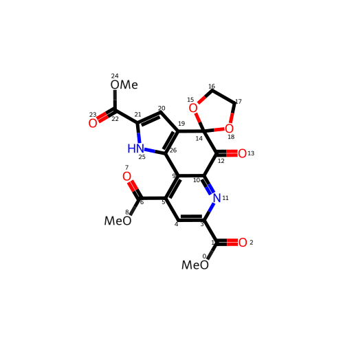 COC(=O)c1cc(C(=O)OC)c2c(n1)C(=O)C1(OCCO1)c1cc(C(=O)OC)[nH]c1-2